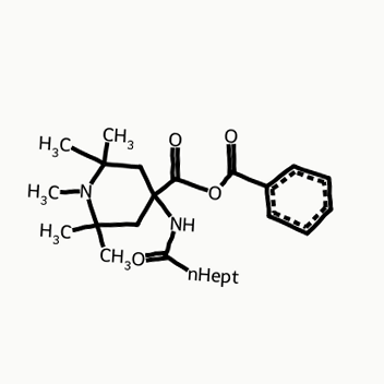 CCCCCCCC(=O)NC1(C(=O)OC(=O)c2ccccc2)CC(C)(C)N(C)C(C)(C)C1